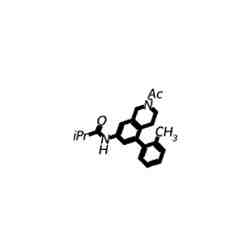 CC(=O)N1CCc2c(cc(NC(=O)C(C)C)cc2-c2ccccc2C)C1